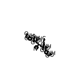 CCCCOc1[nH]c(=O)n(-c2ccc3c(c2)NC(=O)CO3)c(=O)c1C=CC(=CC=C1C(=O)NC(=O)N(c2ccc3c(c2)NC(=O)CO3)C1=O)c1ccncc1